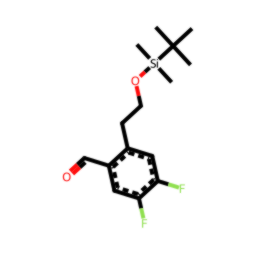 CC(C)(C)[Si](C)(C)OCCc1cc(F)c(F)cc1C=O